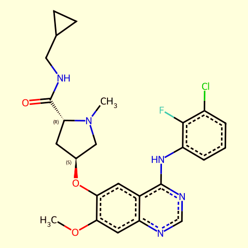 COc1cc2ncnc(Nc3cccc(Cl)c3F)c2cc1O[C@H]1C[C@H](C(=O)NCC2CC2)N(C)C1